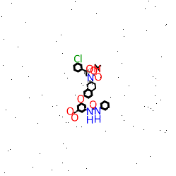 COC(=O)c1cc(NC(=O)Nc2ccccc2)cc(Oc2ccc3c(c2)C[C@@H](N(C[C@@H](O)c2cccc(Cl)c2)C(=O)OC(C)(C)C)CC3)c1